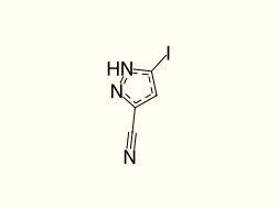 N#Cc1cc(I)[nH]n1